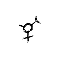 Cc1cc([N+](=O)[O-])cc(C(F)(F)F)n1